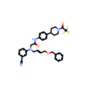 N#Cc1cccc(N(C/C=C/COCc2ccccc2)CC(=O)Nc2ccc(C3CCN(C(=O)C(F)(F)F)CC3)cc2)c1